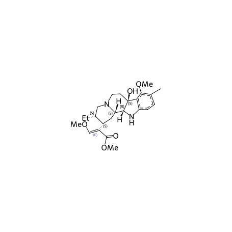 CC[C@@H]1CN2CC[C@]3(O)c4c(ccc(C)c4OC)N[C@@H]3[C@@H]2C[C@@H]1/C(=C\OC)C(=O)OC